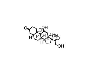 C[C@]12CCC(=O)C[C@@H]1CC[C@H]1[C@@H]3CC[C@](O)(C(=O)CO)[C@@]3(C)C[C@H](O)[C@@]12F